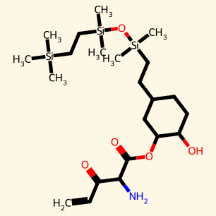 C=CC(=O)C(N)C(=O)OC1CC(CC[Si](C)(C)O[Si](C)(C)CC[Si](C)(C)C)CCC1O